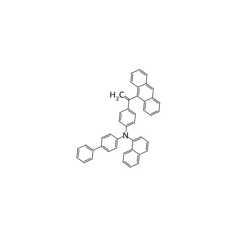 C=C(c1ccc(N(c2ccc(-c3ccccc3)cc2)c2cccc3ccccc23)cc1)c1c2ccccc2cc2ccccc12